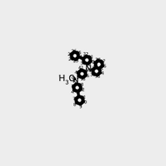 CN(c1ccc(-c2ccccc2)cc1)c1ccc(N(c2cccc(-c3ccccc3)c2)c2cccc3ccccc23)cc1